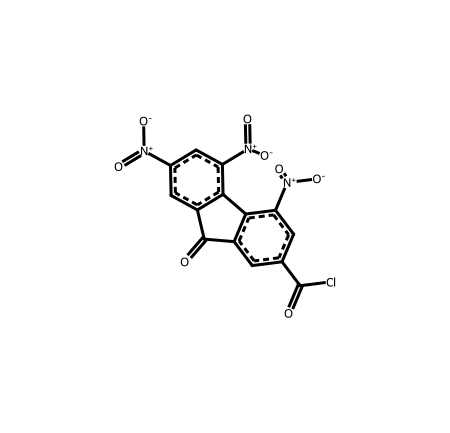 O=C(Cl)c1cc2c(c([N+](=O)[O-])c1)-c1c(cc([N+](=O)[O-])cc1[N+](=O)[O-])C2=O